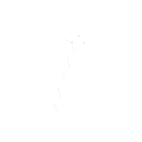 C=CCCOOCCOC(=O)C(C)(C)CC